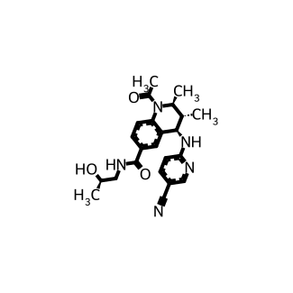 CC(=O)N1c2ccc(C(=O)NC[C@@H](C)O)cc2[C@H](Nc2ccc(C#N)cn2)[C@@H](C)[C@@H]1C